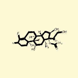 CC(=O)O[C@@]1(C(=O)CO)[C@H](C)C[C@H]2[C@@H]3CCC4=C(F)C(=O)C=C[C@]4(C)[C@@]3(F)[C@@H](O)C[C@@]21C